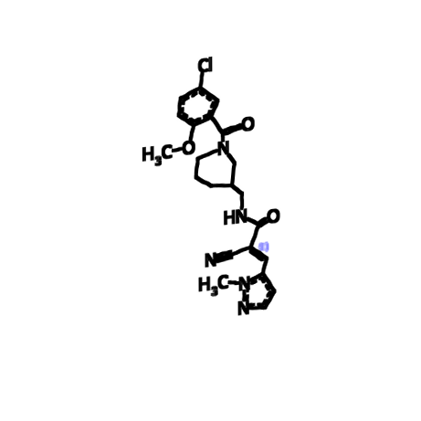 COc1ccc(Cl)cc1C(=O)N1CCCC(CNC(=O)/C(C#N)=C/c2ccnn2C)C1